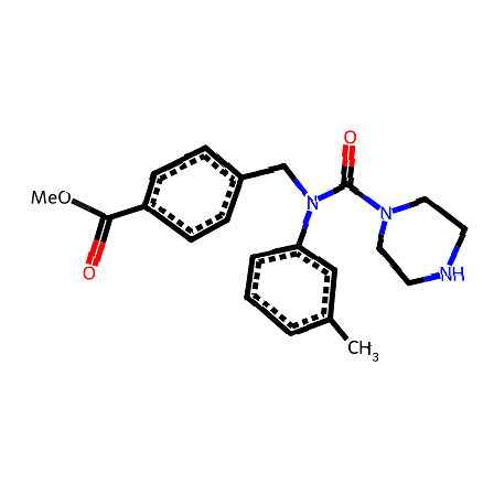 COC(=O)c1ccc(CN(C(=O)N2CCNCC2)c2cccc(C)c2)cc1